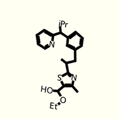 CCOC(O)c1sc(C(C)Cc2cccc(C(c3ccccn3)C(C)C)c2)nc1C